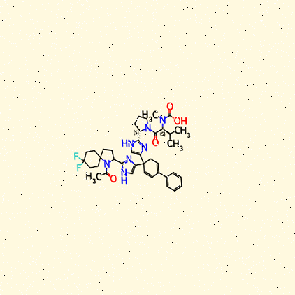 CC(=O)N1C(c2nc(C3(c4c[nH]c([C@@H]5CCCN5C(=O)[C@H](C(C)C)N(C)C(=O)O)n4)C=CC(c4ccccc4)=CC3)c[nH]2)CCC12CCC(F)(F)CC2